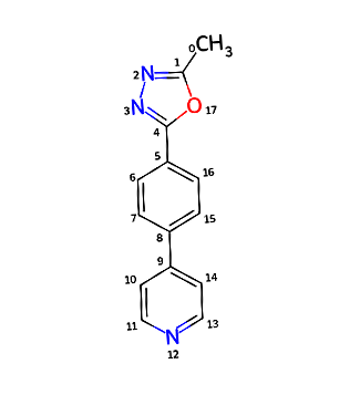 Cc1nnc(-c2ccc(-c3ccncc3)cc2)o1